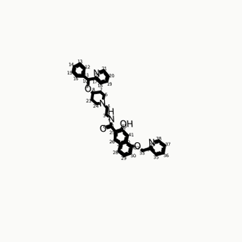 O=C(NCCN1CCC(OC(c2ccccc2)c2ccccn2)CC1)c1cc2cccc(OCc3ccccn3)c2cc1O